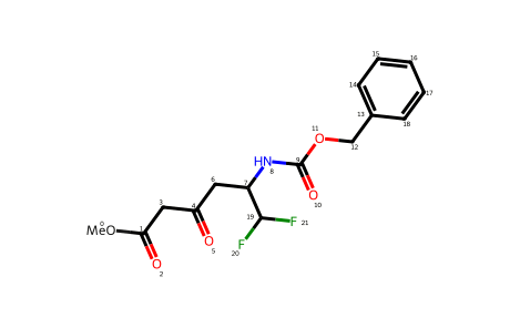 COC(=O)CC(=O)CC(NC(=O)OCc1ccccc1)C(F)F